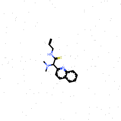 C=CCNC(=S)C(c1ccc2ccccc2n1)N(C)C